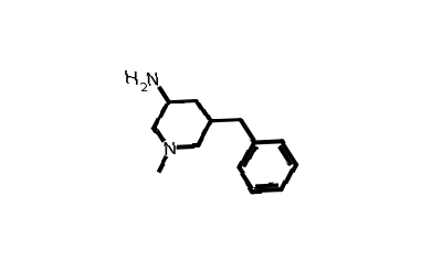 CN1CC(N)CC(Cc2ccccc2)C1